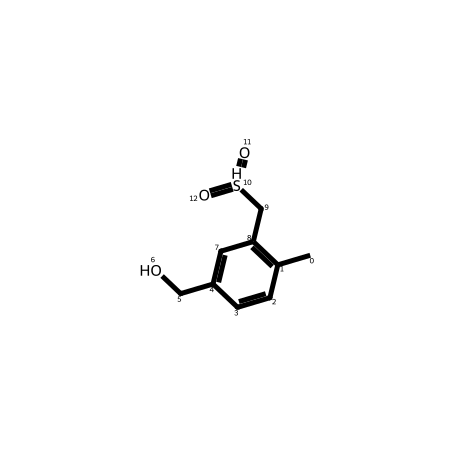 Cc1ccc(CO)cc1C[SH](=O)=O